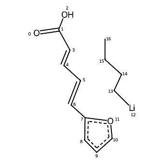 O=C(O)C=CC=Cc1ccco1.[Li][CH2]CCC